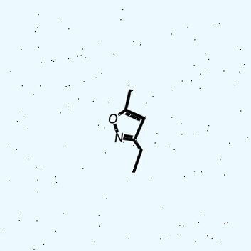 CCc1cc(C)on1